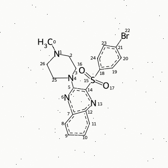 CN1CCN(c2nc3ccccc3nc2S(=O)(=O)c2ccc(Br)cc2)CC1